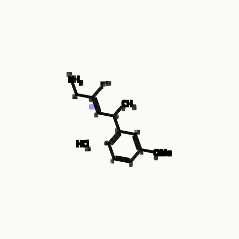 COc1cccc(C(C)/C=C(\F)CN)c1.Cl